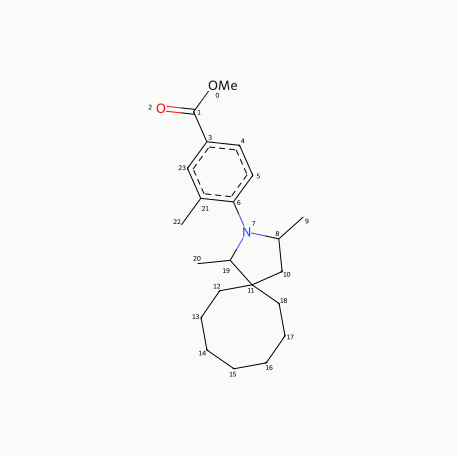 COC(=O)c1ccc(N2C(C)CC3(CCCCCCC3)C2C)c(C)c1